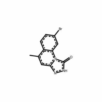 Cc1cc2n[nH]c(=O)n2c2cc(Br)ccc12